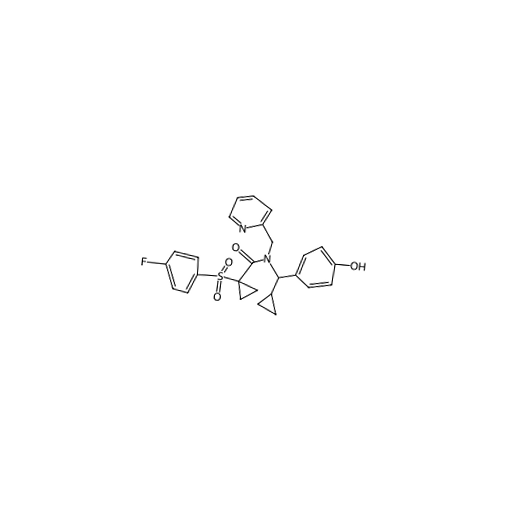 O=C(N(Cc1ccccn1)C(c1ccc(O)cc1)C1CC1)C1(S(=O)(=O)c2ccc(F)cc2)CC1